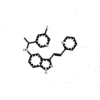 CC(Nc1ccc2[nH]nc(C=Cc3ccccn3)c2c1)c1cncc(F)c1